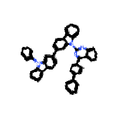 c1ccc(-c2ccc(-c3nc(-n4c5ccccc5c5ccc(-c6ccc7c8ccccc8n(-c8ccccc8)c7c6)cc54)nc4ccccc34)cc2)cc1